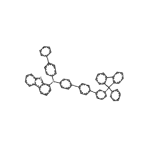 c1ccc(-c2ccc(N(c3ccc(-c4ccc(-c5cccc(C6(c7ccccc7)c7ccccc7-c7ccccc76)c5)cc4)cc3)c3cccc4c3sc3ccccc34)cc2)cc1